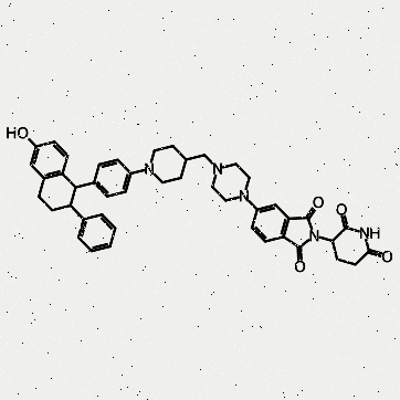 O=C1CCC(N2C(=O)c3ccc(N4CCN(CC5CCN(c6ccc(C7c8ccc(O)cc8CCC7c7ccccc7)cc6)CC5)CC4)cc3C2=O)C(=O)N1